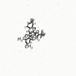 Cc1cc(C)c(S(=O)(=O)N(Cc2ccc(Br)cc2)C(=O)c2ccc(C(F)(F)F)o2)c(C)c1